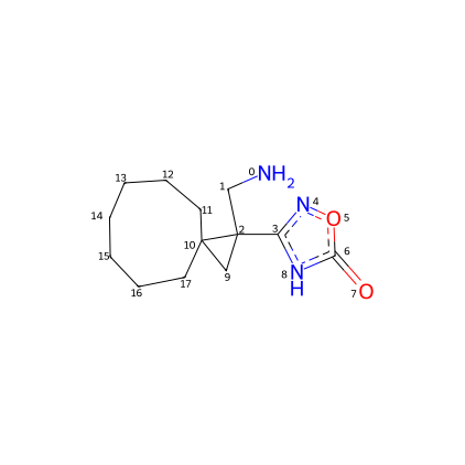 NCC1(c2noc(=O)[nH]2)CC12CCCCCCC2